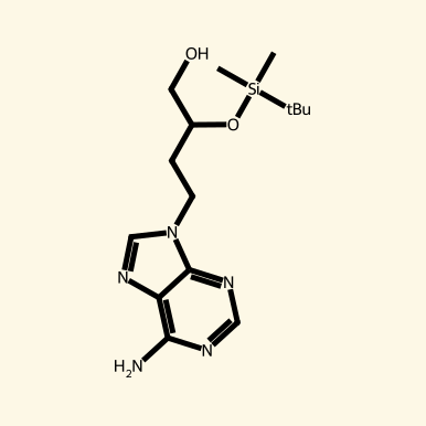 CC(C)(C)[Si](C)(C)OC(CO)CCn1cnc2c(N)ncnc21